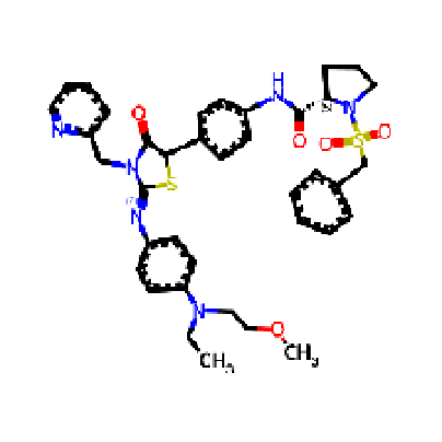 CCN(CCOC)c1ccc(/N=C2\SC(c3ccc(NC(=O)[C@@H]4CCCN4S(=O)(=O)Cc4ccccc4)cc3)C(=O)N2Cc2ccccn2)cc1